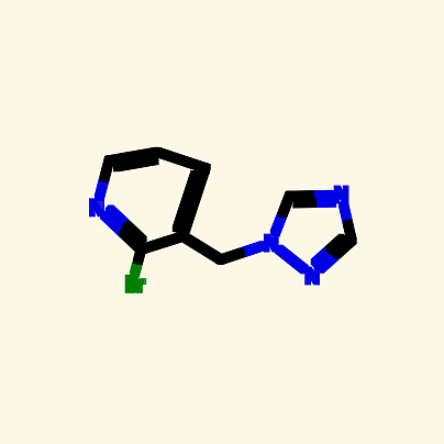 Brc1ncccc1Cn1cncn1